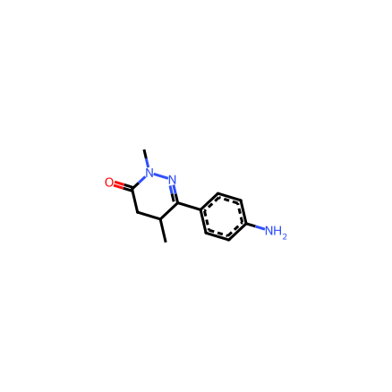 CC1CC(=O)N(C)N=C1c1ccc(N)cc1